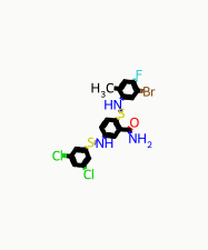 Cc1cc(F)c(Br)cc1NSc1ccc(NSc2cc(Cl)cc(Cl)c2)cc1C(N)=O